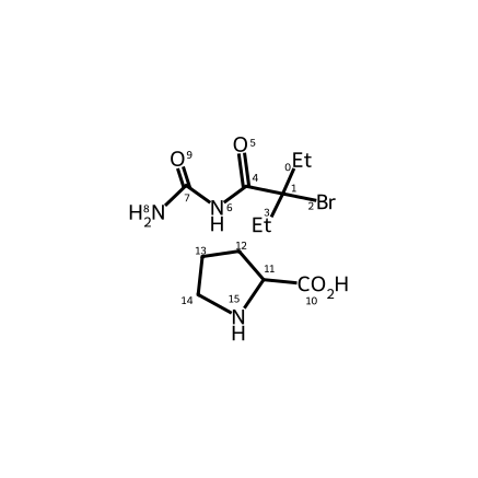 CCC(Br)(CC)C(=O)NC(N)=O.O=C(O)C1CCCN1